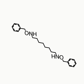 c1ccc(CONCCCCCCCCNOCc2ccccc2)cc1